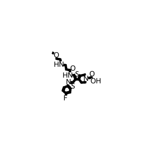 COCCNCCC(=O)Nc1sc2c(c1-c1nc3ccc(F)cc3s1)CCN(C(=O)O)C2